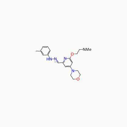 CNCCOc1cc(N2CCOCC2)cc(/C=N/Nc2cccc(C)c2)n1